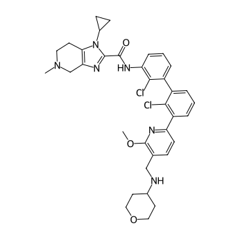 COc1nc(-c2cccc(-c3cccc(NC(=O)c4nc5c(n4C4CC4)CCN(C)C5)c3Cl)c2Cl)ccc1CNC1CCOCC1